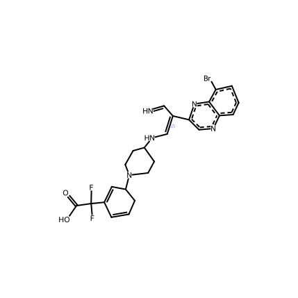 N=C/C(=C\NC1CCN(C2C=C(C(F)(F)C(=O)O)C=CC2)CC1)c1cnc2cccc(Br)c2n1